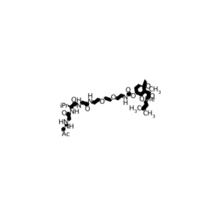 COC1C(OC(=O)NCCOCCOCCNC(=O)CNC(=O)[C@@H](NC(=O)CNNCC(C)=O)C(C)C)CC[C@]2(CO2)C1C1(C)O[C@@H]1CC=C(C)C